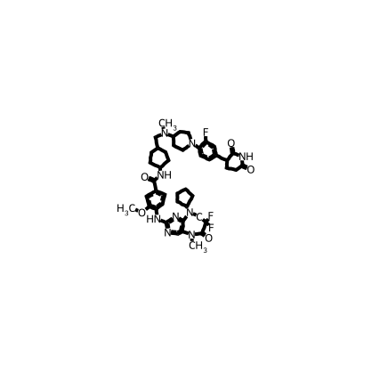 COc1cc(C(=O)NC2CCC(CN(C)C3CCN(c4ccc(C5CCC(=O)NC5=O)cc4F)CC3)CC2)ccc1Nc1ncc2c(n1)N(C1CCCC1)CC(F)(F)C(=O)N2C